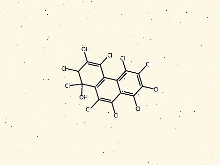 OC1=C(Cl)c2c(c(Cl)c(Cl)c3c(Cl)c(Cl)c(Cl)c(Cl)c23)C(O)(Cl)C1Cl